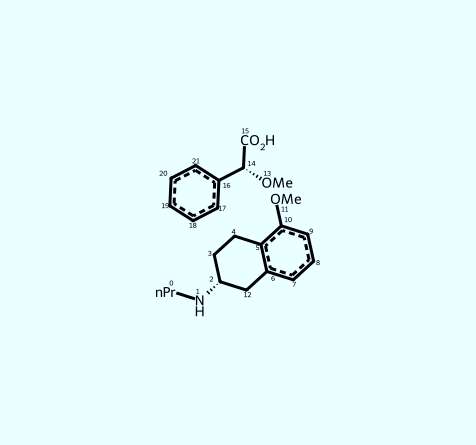 CCCN[C@@H]1CCc2c(cccc2OC)C1.CO[C@@H](C(=O)O)c1ccccc1